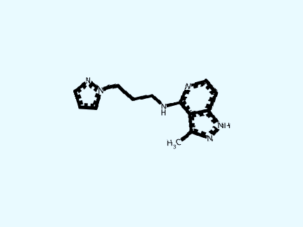 Cc1n[nH]c2ccnc(NCCCn3cccn3)c12